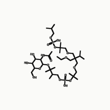 CCOCC(COCC(C)(C)OP(=O)(O)OCC(C)C)(COCC(C)(C)OP(=O)(O)OCC(C)C(C)(C)OC1OC(CO)C(O)C(O)C1NC(C)=O)C(C)C